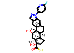 C[C@]12Cc3cnn(-c4ccc(F)nc4)c3C=C1CC[C@@H]1[C@@H]2[C@@H](O)C[C@@]2(C)[C@H]1CC[C@]2(O)C(=O)S